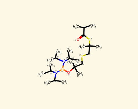 CC(C)C(=O)SC(C)(C)CSCC(C)(C)OP(N(C(C)C)C(C)C)N(C(C)C)C(C)C